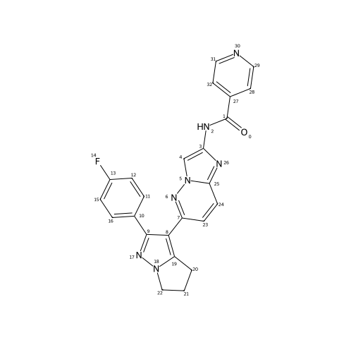 O=C(Nc1cn2nc(-c3c(-c4ccc(F)cc4)nn4c3CCC4)ccc2n1)c1ccncc1